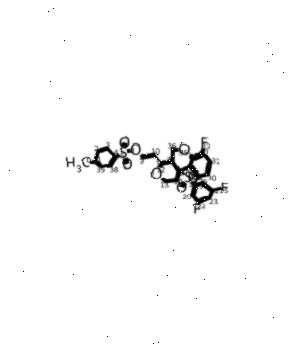 Cc1ccc(S(=O)(=O)OCC[C@@H]2OCC[C@@]3(S(=O)(=O)c4cc(F)cc(F)c4)c4c(F)ccc(F)c4OCC23)cc1